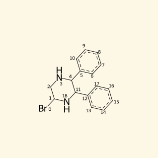 BrC1CNC(c2ccccc2)C(c2ccccc2)N1